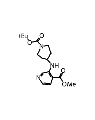 COC(=O)c1ccncc1NC1CCN(C(=O)OC(C)(C)C)CC1